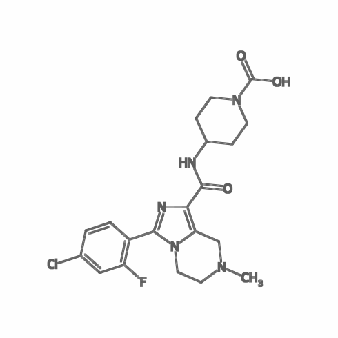 CN1CCn2c(-c3ccc(Cl)cc3F)nc(C(=O)NC3CCN(C(=O)O)CC3)c2C1